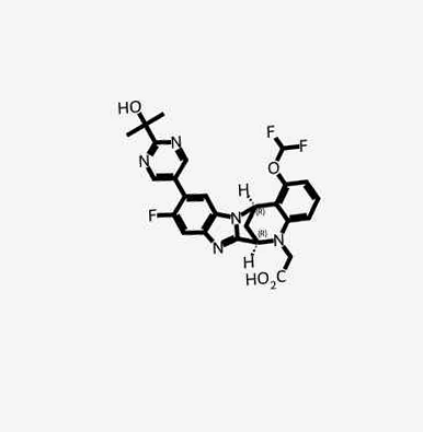 CC(C)(O)c1ncc(-c2cc3c(cc2F)nc2n3[C@@H]3C[C@H]2N(CC(=O)O)c2cccc(OC(F)F)c23)cn1